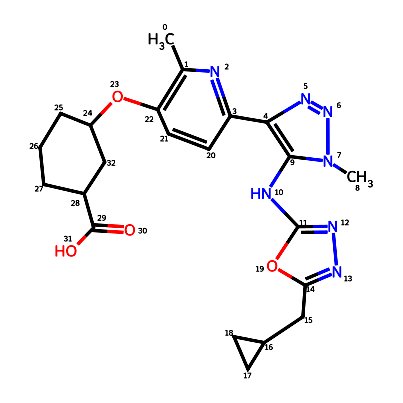 Cc1nc(-c2nnn(C)c2Nc2nnc(CC3CC3)o2)ccc1OC1CCCC(C(=O)O)C1